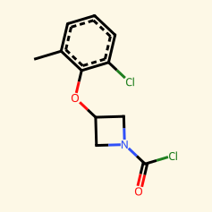 Cc1cccc(Cl)c1OC1CN(C(=O)Cl)C1